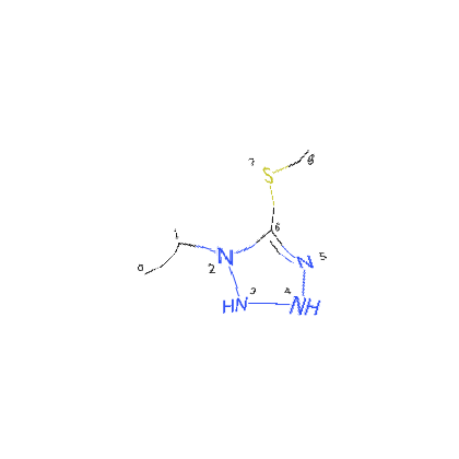 CCN1NNN=C1SC